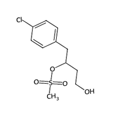 CS(=O)(=O)OC(CCO)Cc1ccc(Cl)cc1